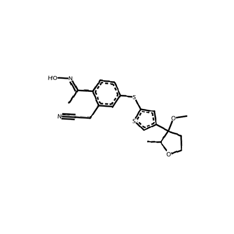 COC1(c2csc(Sc3ccc(/C(C)=N/O)c(CC#N)c3)c2)CCOC1C